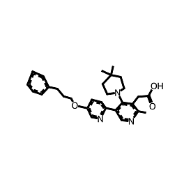 Cc1ncc(-c2ccc(OCCCc3ccccc3)cn2)c(N2CCC(C)(C)CC2)c1CC(=O)O